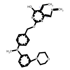 C=N/C=c1/nc(OCc2ccc(N(C)c3cccc(N4CCOCC4)c3)cc2)nc(O)/c1=C/C